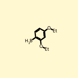 Bc1ccc(OCC)cc1OCC